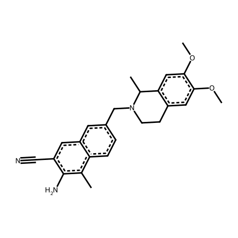 COc1cc2c(cc1OC)C(C)N(Cc1ccc3c(C)c(N)c(C#N)cc3c1)CC2